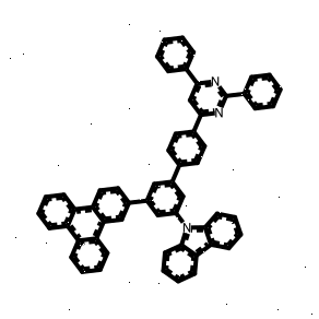 c1ccc(-c2cc(-c3ccc(-c4cc(-c5ccc6c7ccccc7c7ccccc7c6c5)cc(-n5c6ccccc6c6ccccc65)c4)cc3)nc(-c3ccccc3)n2)cc1